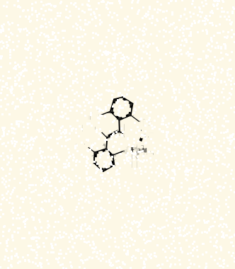 Br.Br.CC(=C(C)c1c(C(C)C)cccc1C(C)C)c1c(C(C)C)cccc1C(C)C.[NH]=[Pd]=[NH]